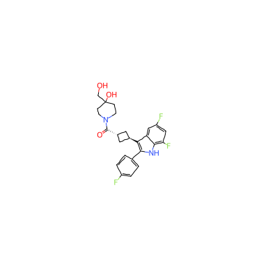 O=C([C@H]1C[C@H](c2c(-c3ccc(F)cc3)[nH]c3c(F)cc(F)cc32)C1)N1CCC(O)(CO)CC1